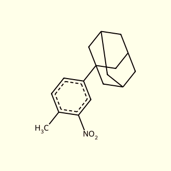 Cc1ccc(C23CC4CC(CC(C4)C2)C3)cc1[N+](=O)[O-]